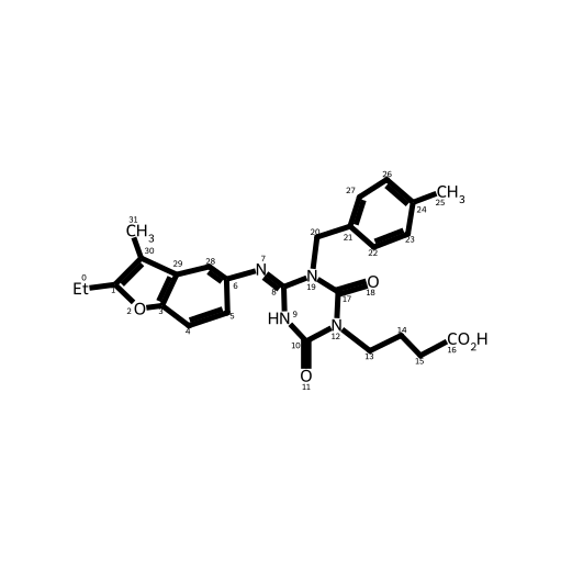 CCc1oc2ccc(/N=c3\[nH]c(=O)n(CCCC(=O)O)c(=O)n3Cc3ccc(C)cc3)cc2c1C